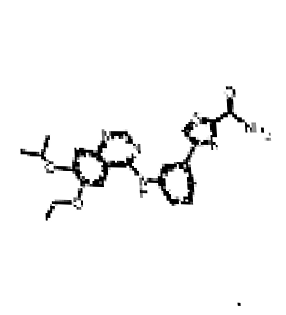 CCOc1cc2c(Nc3cccc(-c4csc(C(N)=O)n4)c3)ncnc2cc1OC(C)C